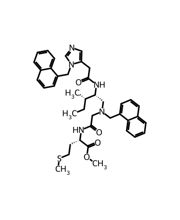 CC[C@H](C)[C@@H](CN(CC(=O)N[C@@H](CCSC)C(=O)OC)Cc1cccc2ccccc12)NC(=O)Cc1cncn1Cc1cccc2ccccc12